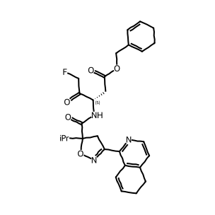 CC(C)C1(C(=O)N[C@@H](CC(=O)OCC2=CCCC=C2)C(=O)CF)CC(c2nccc3c2C=CCC3)=NO1